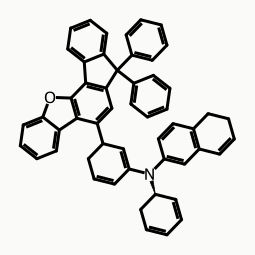 C1=CC[C@@H](N(C2=CC(c3cc4c(c5oc6ccccc6c35)-c3ccccc3C4(c3ccccc3)c3ccccc3)CC=C2)c2ccc3c(c2)C=CCC3)C=C1